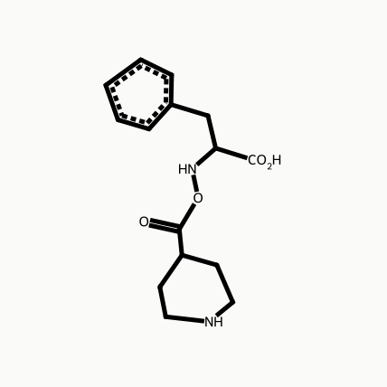 O=C(ONC(Cc1ccccc1)C(=O)O)C1CCNCC1